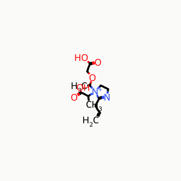 C=CCC1=NCC[N+]1(C(C)OCC(=O)O)C(C)C(=O)O